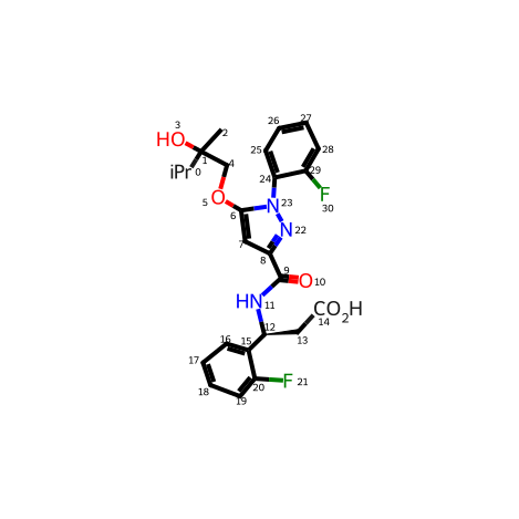 CC(C)C(C)(O)COc1cc(C(=O)N[C@@H](CC(=O)O)c2ccccc2F)nn1-c1ccccc1F